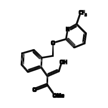 COC(=O)/C(=C/O)c1ccccc1COc1cccc(C(F)(F)F)n1